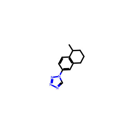 CC1CCCc2cc(-n3cnnn3)ccc21